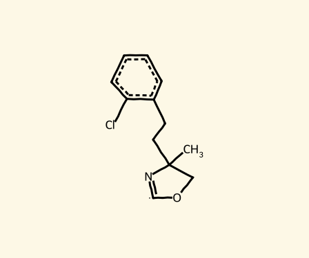 CC1(CCc2ccccc2Cl)CO[C]=N1